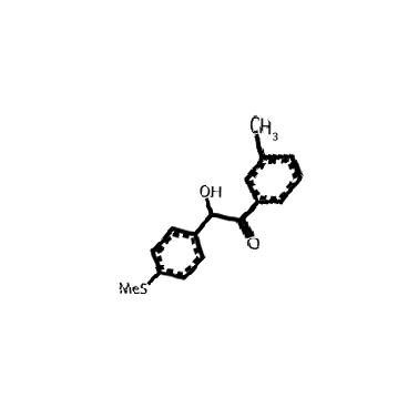 CSc1ccc(C(O)C(=O)c2cccc(C)c2)cc1